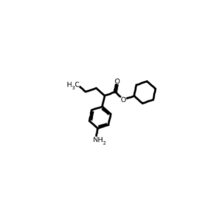 CCCC(C(=O)OC1CCCCC1)c1ccc(N)cc1